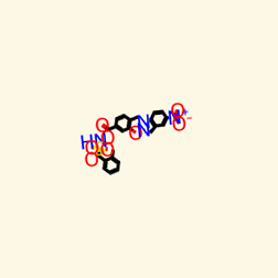 COc1cc(C(=O)ONS(=O)(=O)C(=O)c2ccccc2C)ccc1Cn1ncc2cc([N+](=O)[O-])ccc21